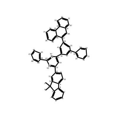 CC1(C)c2ccccc2-c2ccc(-c3cc(-c4cc(-c5ccccc5)cc(-c5cc6ccccc6c6ccccc56)c4)nc(-c4ccccc4)n3)cc21